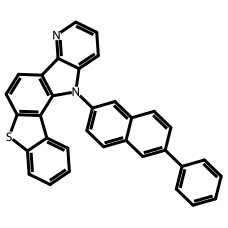 c1ccc(-c2ccc3cc(-n4c5cccnc5c5ccc6sc7ccccc7c6c54)ccc3c2)cc1